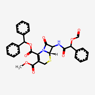 COC(=O)C1=C(C(=O)OC(c2ccccc2)c2ccccc2)N2C(=O)C(NC(=O)C(OC=O)c3ccccc3)[C@@H]2SC1